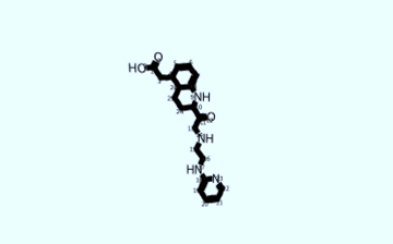 O=C(O)CC1C=CC=C2NC(C(=O)CNCCNc3ccccn3)CCC21